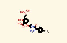 Cc1ccc([C@@H](N)C(=O)N2CC(Oc3ccc(CCB(O)O)c(O)c3C(=O)O)C2)cc1